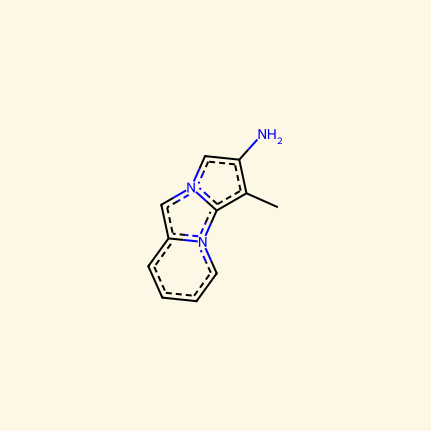 Cc1c(N)cn2cc3ccccn3c12